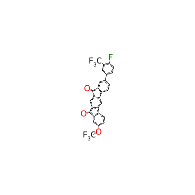 O=c1c2cc(OC(F)(F)F)ccc2c2cc3c(cc12)c(=O)c1cc(-c2ccc(F)c(C(F)(F)F)c2)ccc13